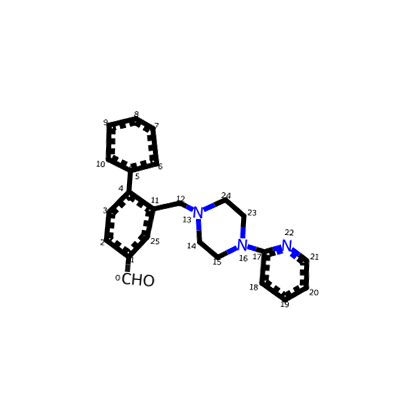 O=Cc1ccc(-c2ccccc2)c(CN2CCN(c3ccccn3)CC2)c1